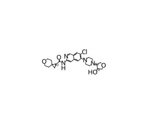 O=C(Nc1cc2cc(N3CCN([C@H]4COC[C@H]4O)CC3)c(Cl)cc2cn1)[C@H]1CC12CCOCC2